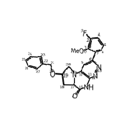 COc1c(F)cccc1-c1cc2c(nn1)NC(=O)C1CC(OCc3ccccc3)CN21